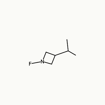 CC(C)C1CN(F)C1